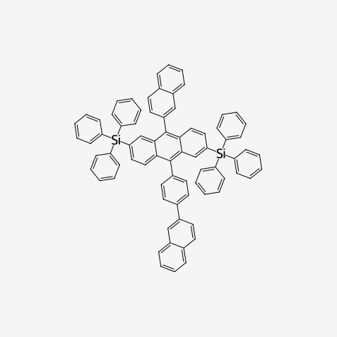 c1ccc([Si](c2ccccc2)(c2ccccc2)c2ccc3c(-c4ccc5ccccc5c4)c4cc([Si](c5ccccc5)(c5ccccc5)c5ccccc5)ccc4c(-c4ccc(-c5ccc6ccccc6c5)cc4)c3c2)cc1